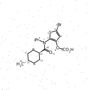 CC(C)N(c1sc(Br)cc1OC(=O)O)C(=O)[C@H]1CC[C@H](C)CC1